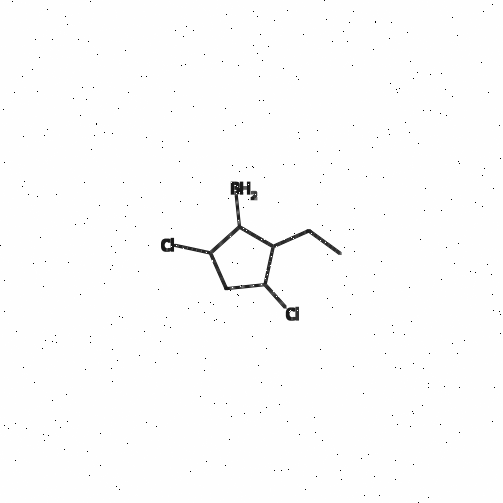 BC1C(Cl)CC(Cl)C1CC